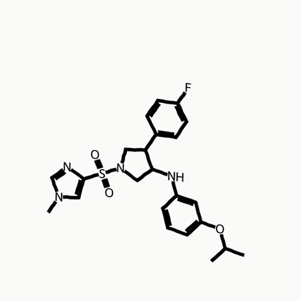 CC(C)Oc1cccc(NC2CN(S(=O)(=O)c3cn(C)cn3)CC2c2ccc(F)cc2)c1